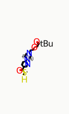 C[C@@H]1CN(CCOCC(=O)C(C)(C)C)C[C@H](C)N1c1ccc(C(=O)[SH](C)C)cn1